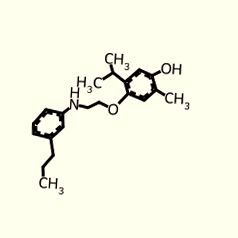 CCCc1cccc(NCCOc2cc(C)c(O)cc2C(C)C)c1